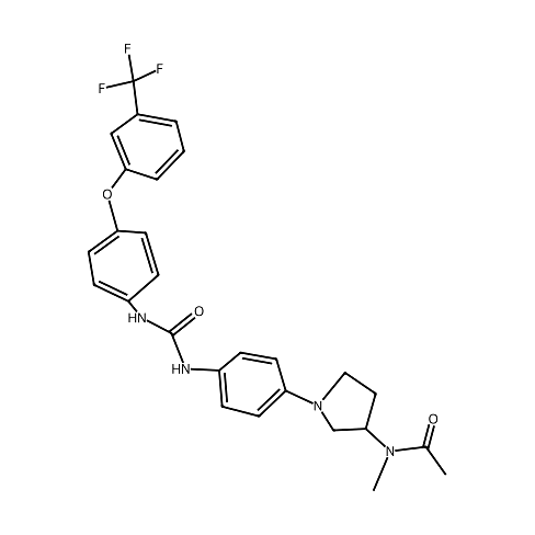 CC(=O)N(C)C1CCN(c2ccc(NC(=O)Nc3ccc(Oc4cccc(C(F)(F)F)c4)cc3)cc2)C1